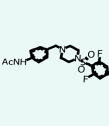 CC(=O)Nc1ccc(CN2CCN(S(=O)(=O)c3c(F)cccc3F)CC2)cc1